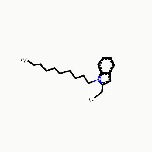 CCCCCCCCCCn1c(CC)cc2ccccc21